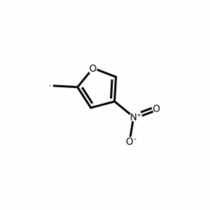 [CH2]c1cc([N+](=O)[O-])co1